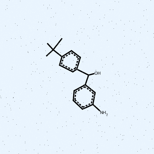 CC(C)(C)c1ccc(C(O)c2cccc(N)c2)cc1